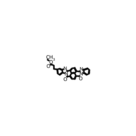 CCOC(=O)CCc1ccc2c(c1)nc1c3ccc4c5c(ccc(c(=O)n21)c35)c(=O)n1c2ccccc2nc41